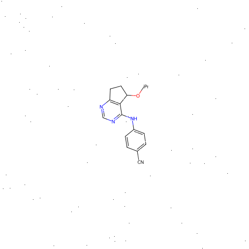 CC(C)OC1CCc2ncnc(Nc3ccc(C#N)cc3)c21